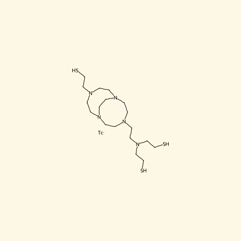 SCCN(CCS)CCN1CCN2CCN(CCS)CCN(CC1)CC2.[Tc]